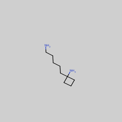 NCCCCCC1(N)CCC1